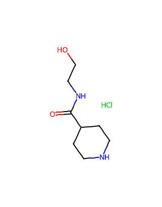 Cl.O=C(NCCO)C1CCNCC1